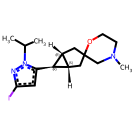 CC(C)n1nc(I)cc1[C@H]1[C@@H]2CC3(C[C@@H]21)CN(C)CCO3